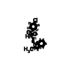 Cc1cc2ccccc2n1CCNS(=O)(=O)c1ccc(Cl)cc1